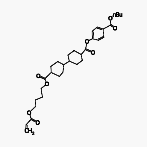 C=CC(=O)OCCCCOC(=O)C1CCC(C2CCC(C(=O)Oc3ccc(C(=O)OCCCC)cc3)CC2)CC1